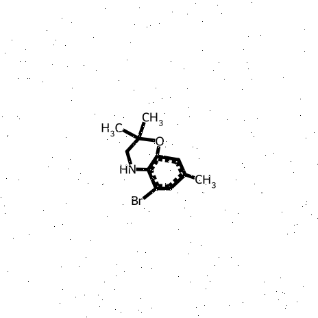 Cc1cc(Br)c2c(c1)OC(C)(C)CN2